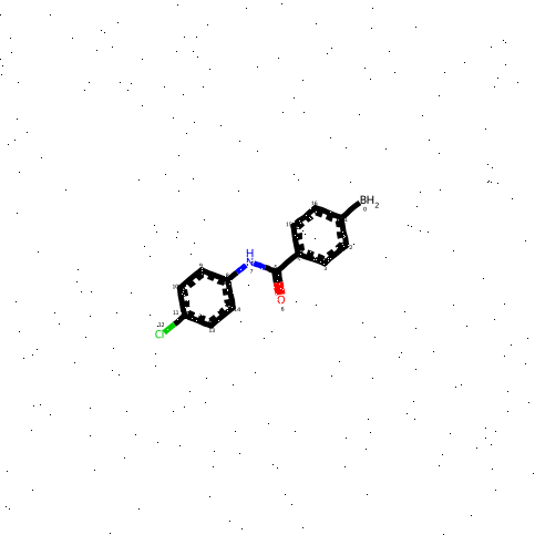 Bc1ccc(C(=O)Nc2ccc(Cl)cc2)cc1